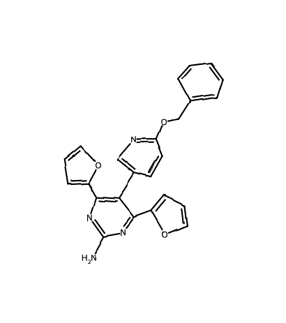 Nc1nc(-c2ccco2)c(-c2ccc(OCc3ccccc3)nc2)c(-c2ccco2)n1